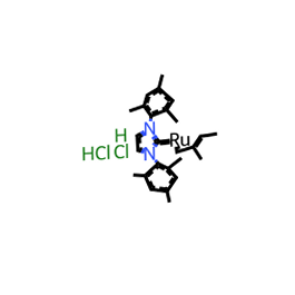 CC=C(C)[CH]=[Ru]=[c]1n(-c2c(C)cc(C)cc2C)ccn1-c1c(C)cc(C)cc1C.Cl.Cl